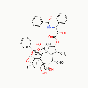 CC(=O)O[C@@]12CO[C@@H]1C[C@H](O)[C@]1(C)[C@@H]2[C@H](OC(=O)c2ccccc2)[C@]2(C(C)(C)O)C[C@H](OC(=O)[C@H](O)[C@@H](NC(=O)c3ccccc3)c3ccccc3)C(C)=C2[C@H](C=O)[C@@H]1O